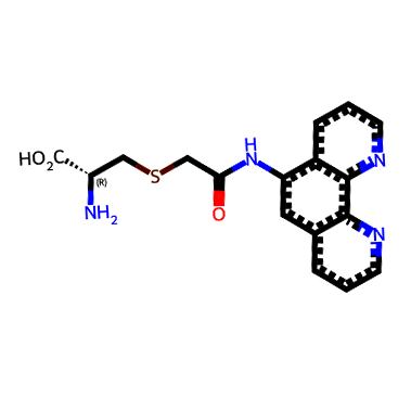 N[C@@H](CSCC(=O)Nc1cc2cccnc2c2ncccc12)C(=O)O